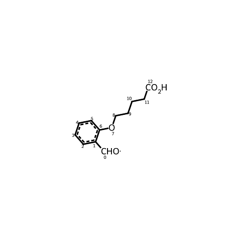 O=[C]c1ccccc1OCCCCC(=O)O